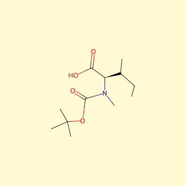 CCC(C)[C@H](C(=O)O)N(C)C(=O)OC(C)(C)C